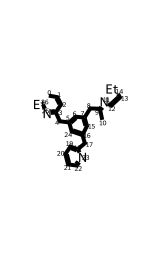 C/C=C\C(Cc1cc(C/C(C)=N/C=C\CC)cc(Cc2ccccn2)c1)=N/CC